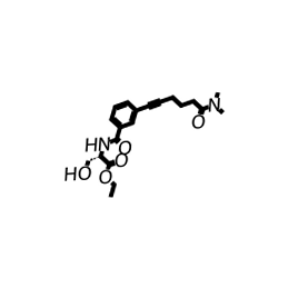 CCOC(=O)[C@H](CO)NC(=O)c1cccc(C#CCCCC(=O)N(C)C)c1